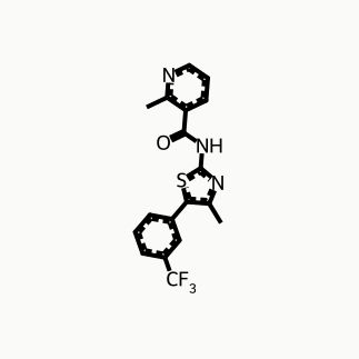 Cc1ncccc1C(=O)Nc1nc(C)c(-c2cccc(C(F)(F)F)c2)s1